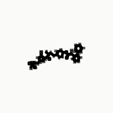 CN(CCN1CCC(OC(=O)Nc2ccccc2-c2ccccc2)CC1)C(=O)c1cc(CNS(C)(=O)=O)c[nH]1